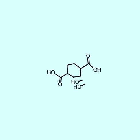 CO.CO.O=C(O)C1CCC(C(=O)O)CC1